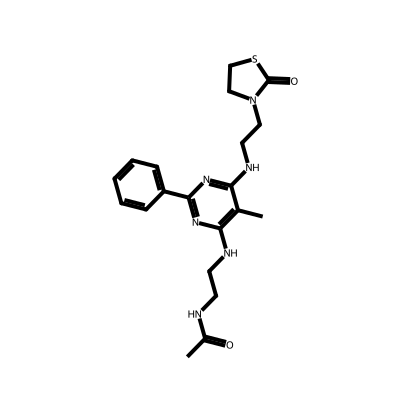 CC(=O)NCCNc1nc(-c2ccccc2)nc(NCCN2CCSC2=O)c1C